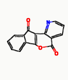 O=C1c2ccccc2-c2oc(=O)c3cccnc3c21